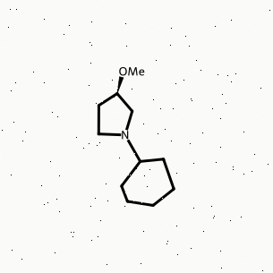 CO[C@@H]1CCN(C2CCCCC2)C1